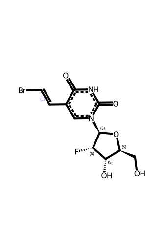 O=c1[nH]c(=O)n([C@H]2O[C@@H](CO)[C@H](O)[C@@H]2F)cc1/C=C/Br